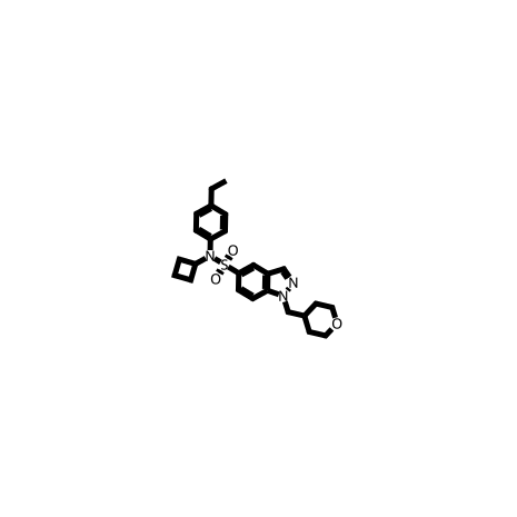 CCc1ccc(N(C2CCC2)S(=O)(=O)c2ccc3c(cnn3CC3CCOCC3)c2)cc1